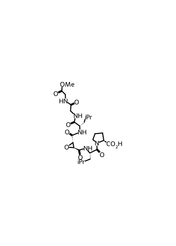 COC(=O)CNC(=O)CNC(=O)[C@H](CC(C)C)NC(=O)[C@H]1O[C@@H]1C(=O)N[C@@H](CC(C)C)C(=O)N1CCC[C@H]1C(=O)O